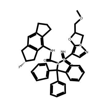 COCC1Cn2ncc(S(=N)(=O)N(C(=O)Nc3c4c(cc5c3C[C@H](F)C5)CCC4)C(c3ccccc3)(c3ccccc3)c3ccccc3)c2O1